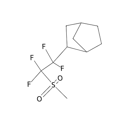 CS(=O)(=O)C(F)(F)C(F)(F)C1CC2CCC1C2